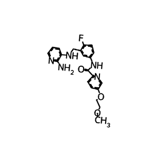 COCCOc1ccc(C(=O)Nc2ccc(F)c(CNc3cccnc3N)c2)nc1